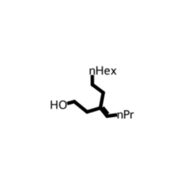 CCCC=C(CCO)CCCCCCCC